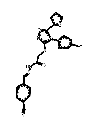 N#Cc1ccc(C=NNC(=O)CSc2nnc(-c3ccco3)n2-c2ccc(F)cc2)cc1